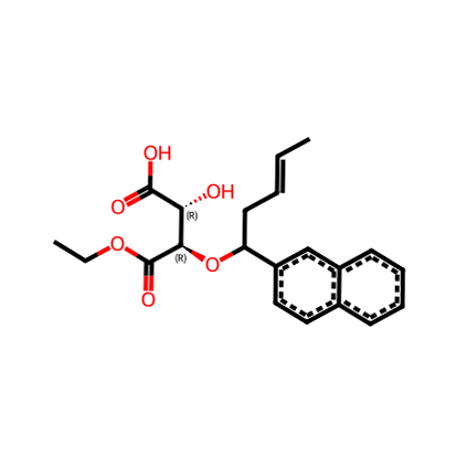 CC=CCC(O[C@@H](C(=O)OCC)[C@@H](O)C(=O)O)c1ccc2ccccc2c1